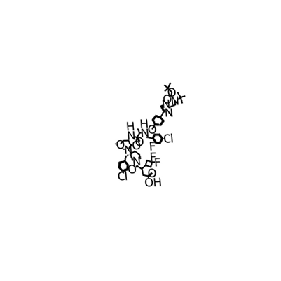 COCC(NC(=O)C(C)NCc1c(F)cc(Cl)cc1Oc1ccc(-c2cnc(CN(C(=O)OC(C)(C)C)C(C)(C)C)n2C)cc1)C(=O)N(C)[C@@]1(Cc2ccc(Cl)cc2)CCCN(C(=O)C(CC(=O)O)C2CC(F)(F)C2)C1